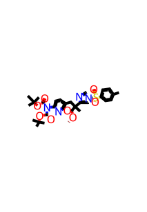 COC(=O)C(C)(Cc1ccc(N(C(=O)OC(C)(C)C)C(=O)OC(C)(C)C)nc1)c1cn(S(=O)(=O)c2ccc(C)cc2)cn1